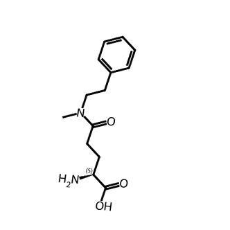 CN(CCc1ccccc1)C(=O)CC[C@H](N)C(=O)O